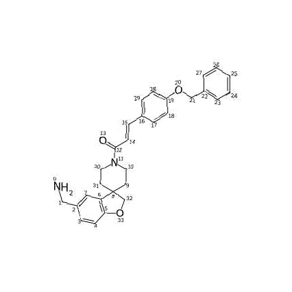 NCc1ccc2c(c1)C1(CCN(C(=O)C=Cc3ccc(OCc4ccccc4)cc3)CC1)CO2